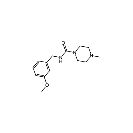 COc1cccc(CNC(=O)N2CCN(C)CC2)c1